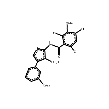 COc1cccc(-c2csc(NC(=O)c3c(Cl)cc(Cl)c(OC)c3Cl)c2C(=O)O)c1